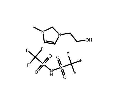 CN1C=CN(CCO)C1.O=S(=O)(NS(=O)(=O)C(F)(F)F)C(F)(F)F